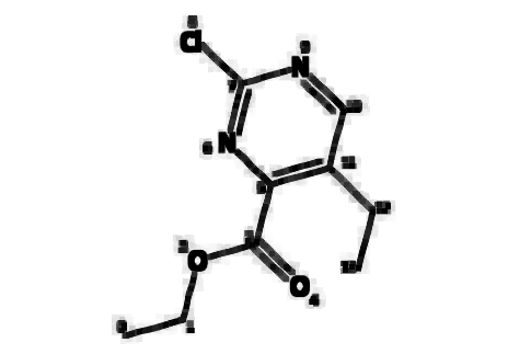 CCOC(=O)c1nc(Cl)ncc1CC